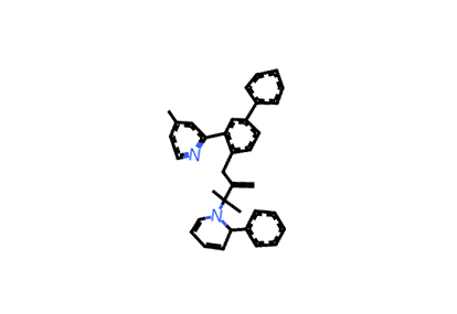 C=C(Cc1ccc(-c2ccccc2)cc1-c1cc(C)ccn1)C(C)(C)N1C=CC=CC1c1ccccc1